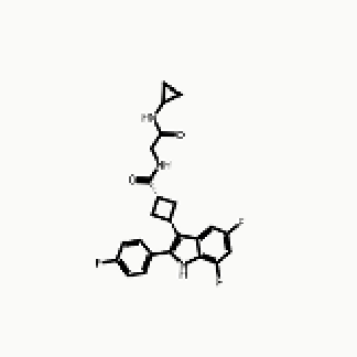 O=C(CNC(=O)[C@H]1C[C@H](c2c(-c3ccc(F)cc3)[nH]c3c(F)cc(F)cc32)C1)NC1CC1